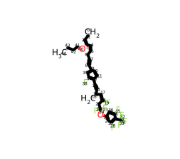 C=C/C=C(\C=C/CC#Cc1ccc(C#CC(=C)/C=C(/F)CC(F)(F)Oc2cc(F)c(C(F)(F)F)c(F)c2)c(F)c1)OCCCC